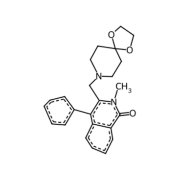 Cn1c(CN2CCC3(CC2)OCCO3)c(-c2ccccc2)c2ccccc2c1=O